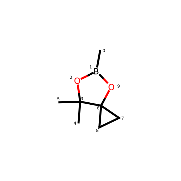 CB1OC(C)(C)C2(CC2)O1